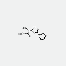 CCCC(C(=O)OCC(C)C)C(C)OC(=O)c1ccccc1